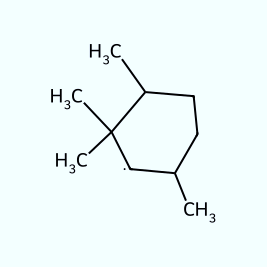 CC1[CH]C(C)(C)C(C)CC1